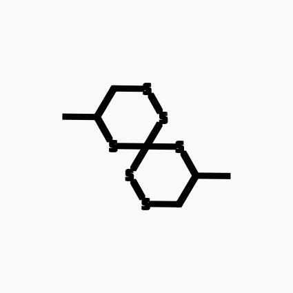 CC1CSSC2(SSCC(C)S2)S1